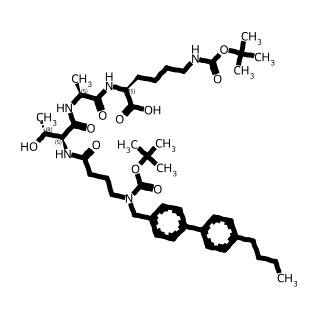 CCCCc1ccc(-c2ccc(CN(CCCC(=O)N[C@H](C(=O)N[C@@H](C)C(=O)N[C@@H](CCCCNC(=O)OC(C)(C)C)C(=O)O)[C@@H](C)O)C(=O)OC(C)(C)C)cc2)cc1